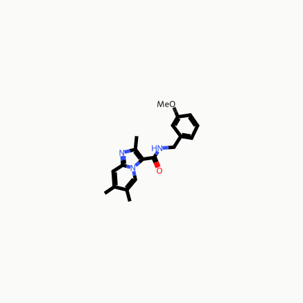 COc1cccc(CNC(=O)c2c(C)nc3cc(C)c(C)cn23)c1